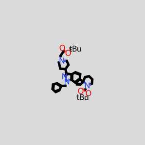 C=CC1(c2ccc3c(C4CCN(CC(=O)OC(C)(C)C)CC4)nn(Cc4ccccc4)c3c2)CCCCN1C(=O)OC(C)(C)C